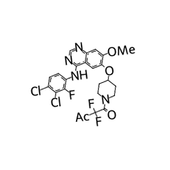 COc1cc2ncnc(Nc3ccc(Cl)c(Cl)c3F)c2cc1OC1CCN(C(=O)C(F)(F)C(C)=O)CC1